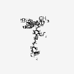 CC1=NC(CCc2ccc(OCCCc3ccc(C(F)(F)F)c(F)c3)c(C(F)(F)F)c2)(COP(=O)(OC(C)(C)C)OC(C)(C)C)CO1